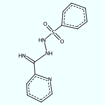 N=C(NNS(=O)(=O)c1ccccc1)c1ccccn1